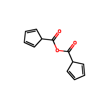 O=C(OC(=O)C1C=CC=C1)C1C=CC=C1